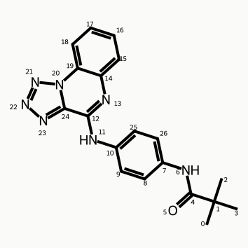 CC(C)(C)C(=O)Nc1ccc(Nc2nc3ccccc3n3nnnc23)cc1